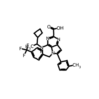 Cc1cccc(-c2cc3nc(C(=O)O)nc(NC(C)C4CCC4)c3n2Cc2ccc(C(F)(F)F)cc2)c1